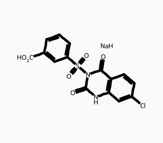 O=C(O)c1cccc(S(=O)(=O)n2c(=O)[nH]c3cc(Cl)ccc3c2=O)c1.[NaH]